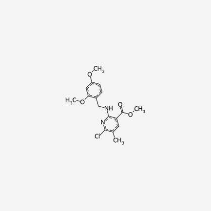 COC(=O)c1cc(C)c(Cl)nc1NCc1ccc(OC)cc1OC